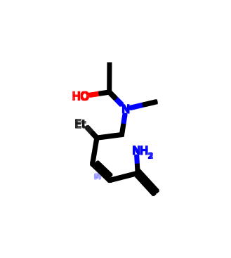 C=C(N)/C=C\C(CC)CN(C)C(C)O